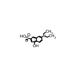 CCN(CC)c1ccc2c(O)cc(S(=O)(=O)O)cc2c1